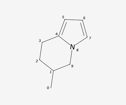 CC1CCc2cccn2C1